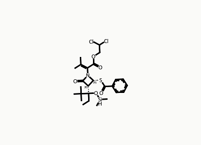 CCC(O[SiH](C)C)([C@@H]1C(=O)N(C(C(=O)OCC(Cl)Cl)=C(C)C)[C@@H]1SC(=O)c1ccccc1)C(C)(C)C